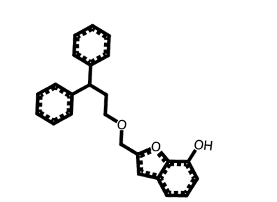 Oc1cccc2cc(COCCC(c3ccccc3)c3ccccc3)oc12